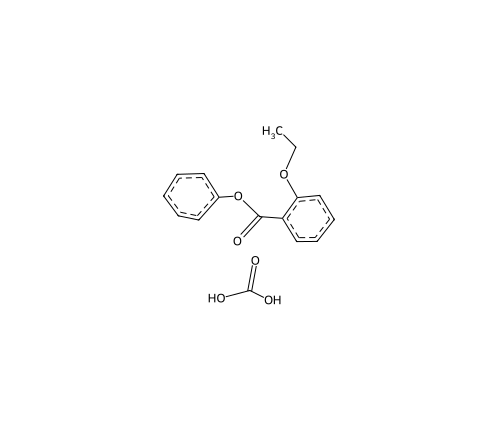 CCOc1ccccc1C(=O)Oc1ccccc1.O=C(O)O